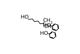 CC(C)CCCCCO.Oc1ccccc1.Oc1ccccc1